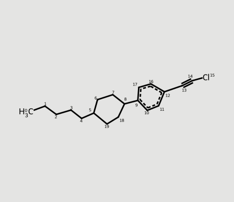 CCCCCC1CCC(c2ccc(C#CCl)cc2)CC1